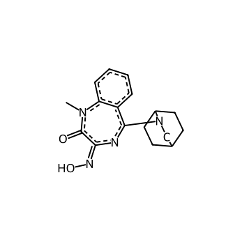 Cn1c(=O)c(=NO)nc(N2CC3CCC2CC3)c2ccccc21